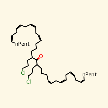 CCCCC/C=C\C/C=C\C/C=C\C/C=C\CCCC(CCCCl)C(=O)C(CCCCl)CCC/C=C\C/C=C\C/C=C\C/C=C\CCCCC